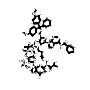 COc1ccc(C(OC[C@H]2O[C@@H](n3cnc4c(NC(=O)c5ccccc5)ncnc43)C[C@@H]2OP(=O)(OCCC#N)OC[C@H]2O[C@@H](n3cnc4c(=O)[nH]c(NC(=O)C(C)C)nc43)[C@H](P(=O)(O)O)[C@@H]2O[Si](C)(C)C(C)(C)C)(c2ccccc2)c2ccc(OC)cc2)cc1